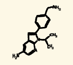 CC(C)n1c(-c2ccc(CN)cc2)cc2cc(N)cnc21